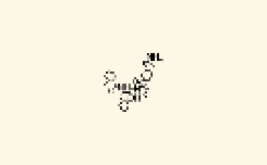 Cc1ccccc1C(=O)N[C@@H](Cc1ccccc1)[C@H](O)CN(CC(C)C)S(=O)(=O)c1ccc2nc(N)sc2c1